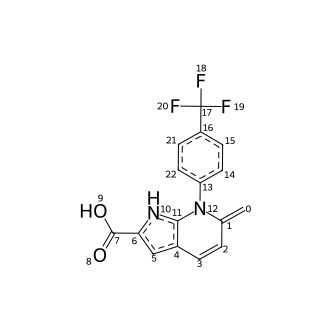 C=C1C=Cc2cc(C(=O)O)[nH]c2N1c1ccc(C(F)(F)F)cc1